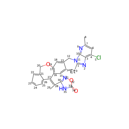 CCc1nc2c(Cl)cc(C)nc2n1Cc1ccc2c(c1)OCc1ccccc1/C2=C(\C)c1noc(=O)[nH]1